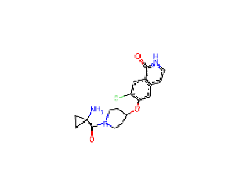 NC1(C(=O)N2CCC(Oc3cc4cc[nH]c(=O)c4cc3Cl)CC2)CC1